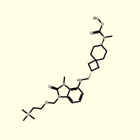 Cn1c(=O)n(COCC[Si](C)(C)C)c2cccc(NC[C@H]3CC4(CC[C@H](N(C)C(=O)OC(C)(C)C)CC4)C3)c21